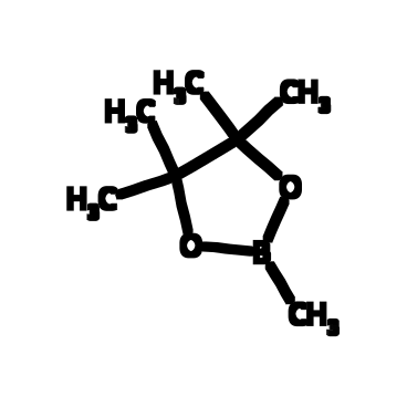 CB1OC(C)(C)C(C)(C)O1